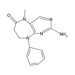 CN1C(=O)CCN(c2ccccc2)c2nc(N)ncc21